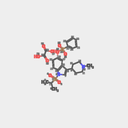 CC(C)S(=O)(=O)n1cc(C2CCN(C)CC2)c2cc(OS(=O)(=O)c3ccccc3)ccc21.O=C(O)C(=O)O